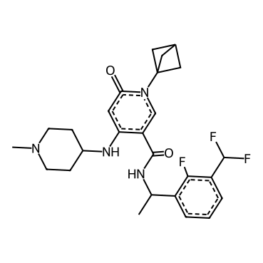 CC(NC(=O)c1cn(C23CC(C2)C3)c(=O)cc1NC1CCN(C)CC1)c1cccc(C(F)F)c1F